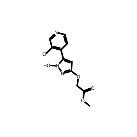 COC(=O)COc1cc(-c2ccncc2Cl)n(O)n1